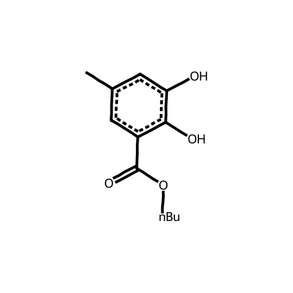 CCCCOC(=O)c1cc(C)cc(O)c1O